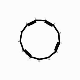 [C]1=CCC=CC=CCCC=CCC1